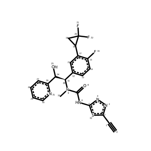 C#Cc1nnc(NC(=O)N(C)[C@H](c2ccc(F)c(C3CC3(F)F)c2)C(O)c2ccccn2)s1